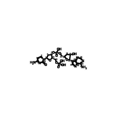 Nc1ccn([C@H]2C[C@H](OP(=O)(O)OC[C@@H]3C[C@@H](O)[C@H](n4cnc5c(N)ncnc54)O3)[C@@H](COP(=O)(O)O)O2)c(=O)n1